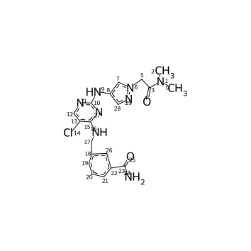 CN(C)C(=O)Cn1cc(Nc2ncc(Cl)c(NCc3cccc(C(N)=O)c3)n2)cn1